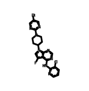 CCc1cnc(N2CCC(n3cc(F)c4c(Nc5ncccc5Cl)ncnc43)CC2)nc1